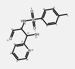 Cc1ccc(S(=O)(=O)NC(C=O)C(S)c2ccccn2)cc1